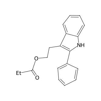 CCC(=O)OCCc1c(-c2ccccc2)[nH]c2ccccc12